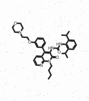 CCCCn1c(=O)c(NC(=O)Nc2c(C(C)C)cccc2C(C)C)c(-c2cccc(OCCN3CCOCC3)c2)c2cccnc21